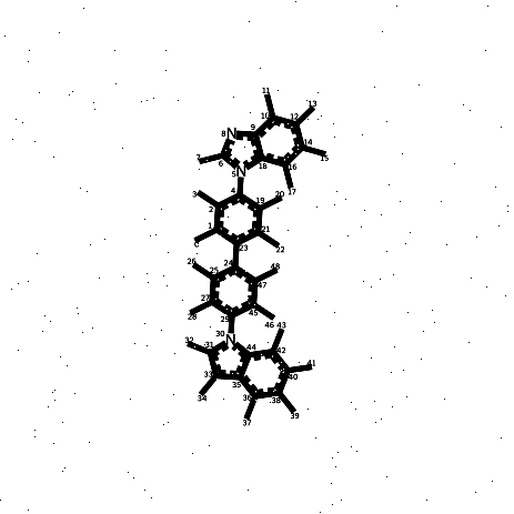 Cc1c(C)c(-n2c(C)nc3c(C)c(C)c(C)c(C)c32)c(C)c(C)c1-c1c(C)c(C)c(-n2c(C)c(C)c3c(C)c(C)c(C)c(C)c32)c(C)c1C